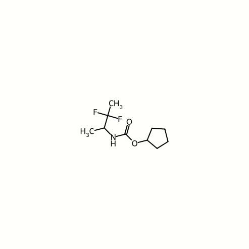 CC(NC(=O)OC1CCCC1)C(C)(F)F